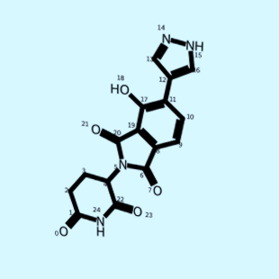 O=C1CCC(N2C(=O)c3ccc(-c4cn[nH]c4)c(O)c3C2=O)C(=O)N1